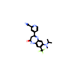 CC(C)N(C)c1cc2c(cc1C(F)(F)F)NC(=O)CC(c1ccnc(C#N)c1)=N2